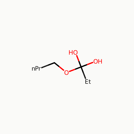 CCCCOC(O)(O)CC